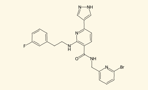 O=C(NCc1cccc(Br)n1)c1ccc(-c2cn[nH]c2)nc1NCCc1cccc(F)c1